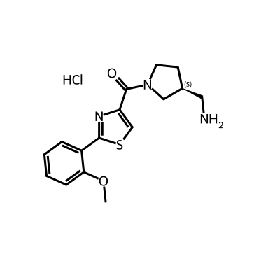 COc1ccccc1-c1nc(C(=O)N2CC[C@@H](CN)C2)cs1.Cl